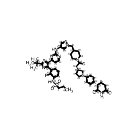 CCCS(=O)(=O)Nc1cccc(-c2nc(C(C)(C)C)sc2-c2ccnc(Nc3cnn(CC4CCN(C(=O)C[C@@H]5CCN(c6ccc([C@@H]7CCC(=O)NC7=O)cc6)C5)CC4)c3)n2)c1F